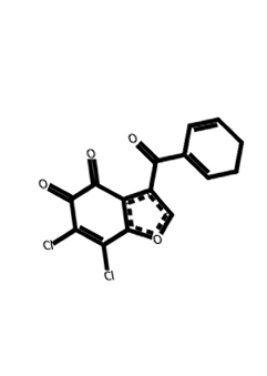 O=C1C(=O)c2c(C(=O)C3=CCCC=C3)coc2C(Cl)=C1Cl